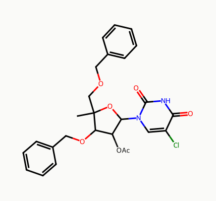 CC(=O)OC1C(n2cc(Cl)c(=O)[nH]c2=O)OC(C)(COCc2ccccc2)C1OCc1ccccc1